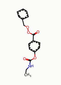 CCNC(=O)Oc1ccc(C(=O)OOCc2ccccc2)cc1